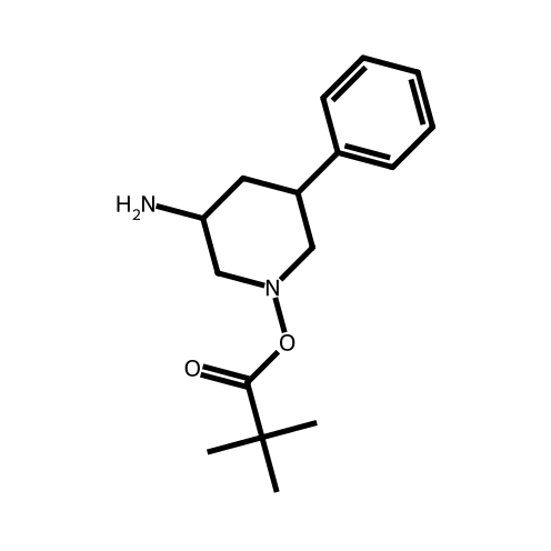 CC(C)(C)C(=O)ON1CC(N)CC(c2ccccc2)C1